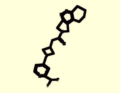 O=C(CC1CN(c2ccnc(C(F)F)c2)C1)N1Cc2nnc3c(c2C1)CCCC3